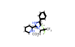 O=C(O)CC(F)(F)C(F)(F)F.c1ccc(-c2cnc(C3CCCCN3)[nH]2)cc1